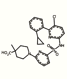 CC1(C(=O)O)CCN(c2cccc(S(=O)(=O)Nc3ccc(Cl)c(-c4ccccc4C4CC4)n3)n2)CC1